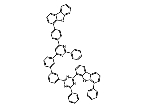 c1ccc(-c2nc(-c3ccc(-c4cccc5c4oc4ccccc45)cc3)cc(-c3cccc(-c4cccc(-c5nc(-c6ccccc6)nc(-c6cccc7c6oc6c(-c8ccccc8)cccc67)n5)c4)c3)n2)cc1